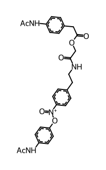 CC(=O)Nc1ccc(CC(=O)OCC(=O)NCCc2ccc([N+](=O)Oc3ccc(NC(C)=O)cc3)cc2)cc1